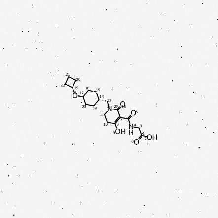 O=C(O)CNC(=O)C1=C(O)CCN(C[C@H]2CC[C@H](OC3CCC3)CC2)C1=O